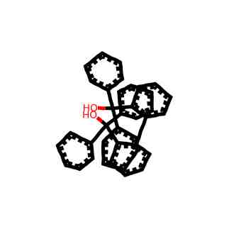 OC(c1ccccc1)(c1ccccc1)c1ccccc1-c1ccccc1C(O)(c1ccccc1)c1ccccc1